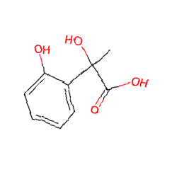 CC(O)(C(=O)O)c1ccccc1O